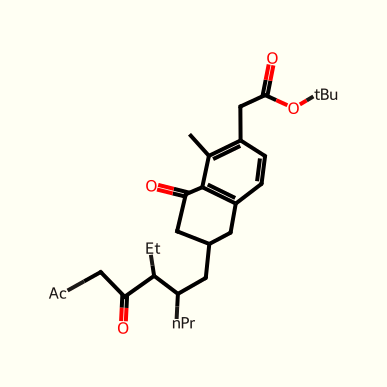 CCCC(CC1CC(=O)c2c(ccc(CC(=O)OC(C)(C)C)c2C)C1)C(CC)C(=O)CC(C)=O